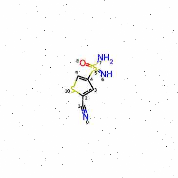 N#Cc1cc(S(=N)(N)=O)cs1